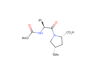 COC(=O)N[C@H](C(=O)N1C[C@@H](SC)C[C@H]1C(=O)O)C(C)C